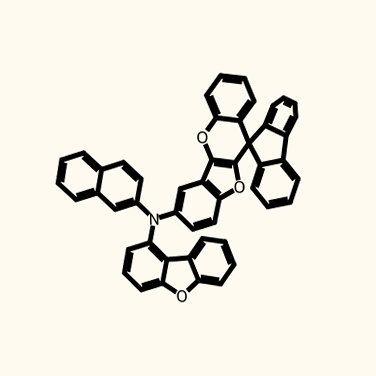 c1ccc2c(c1)Oc1c(oc3ccc(N(c4ccc5ccccc5c4)c4cccc5oc6ccccc6c45)cc13)C21c2ccccc2-c2ccccc21